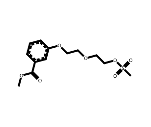 COC(=O)c1cccc(OCCOCCOS(C)(=O)=O)c1